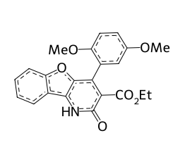 CCOC(=O)c1c(-c2cc(OC)ccc2OC)c2oc3ccccc3c2[nH]c1=O